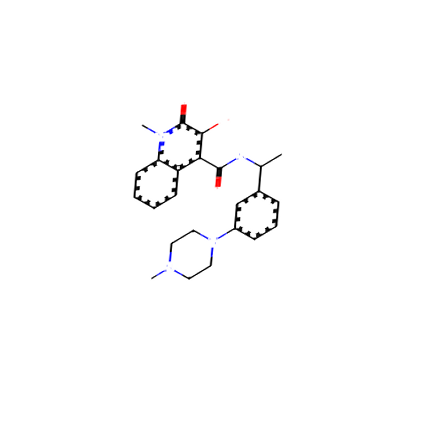 CCN1CCN(c2cccc(C(C)NC(=O)c3c(O)c(=O)n(C)c4ccccc34)c2)CC1